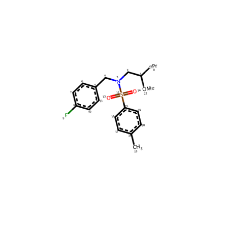 CCCC(CN(Cc1ccc(F)cc1)S(=O)(=O)c1ccc(C)cc1)OC